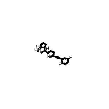 Fc1ccc(F)c(C#Cc2ccc(C3CN[C@@H]4C=CC[C@H]34)nc2)c1